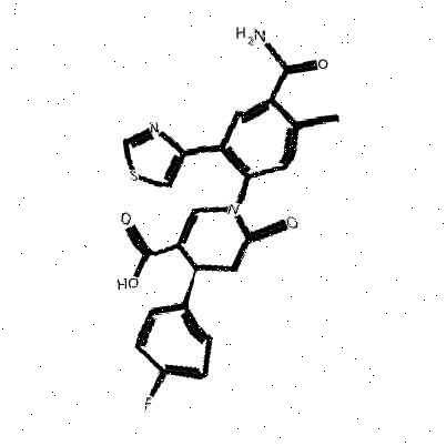 Cc1cc(N2C=C(C(=O)O)[C@H](c3ccc(F)cc3)CC2=O)c(-c2cscn2)cc1C(N)=O